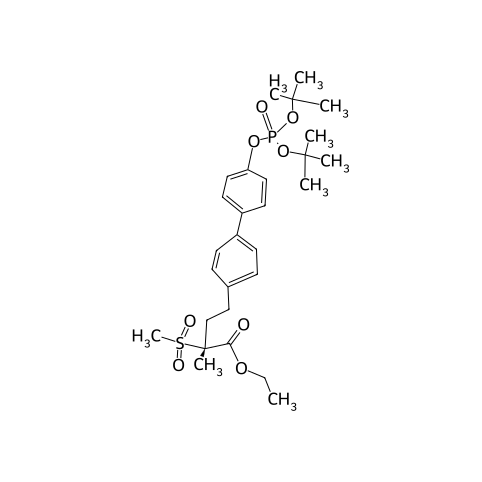 CCOC(=O)[C@@](C)(CCc1ccc(-c2ccc(OP(=O)(OC(C)(C)C)OC(C)(C)C)cc2)cc1)S(C)(=O)=O